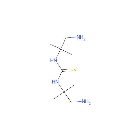 CC(C)(CN)NC(=S)NC(C)(C)CN